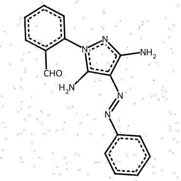 Nc1nn(-c2ccccc2C=O)c(N)c1N=Nc1ccccc1